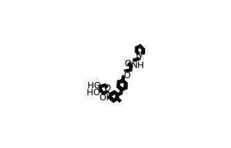 Cc1ccc([C@@H]2OC[C@@H](O)[C@H](O)[C@H]2O)cc1Cc1ccc(COCCC(=O)NCCN2CCCCC2)cc1